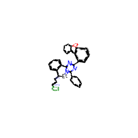 CC/C(=C\C=C\Cl)c1ccccc1-c1nc(-c2ccccc2)nc(-c2cccc3oc4ccccc4c23)n1